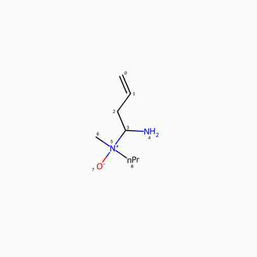 C=CCC(N)[N+](C)([O-])CCC